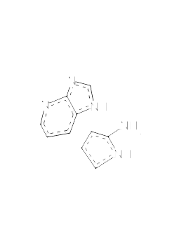 Nc1ccc[nH]1.c1cnc2nc[nH]c2c1